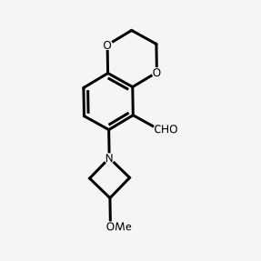 COC1CN(c2ccc3c(c2C=O)OCCO3)C1